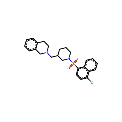 O=S(=O)(c1ccc(Cl)c2ccccc12)N1CCCC(CN2CCc3ccccc3C2)C1